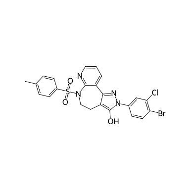 Cc1ccc(S(=O)(=O)N2CCc3c(nn(-c4ccc(Br)c(Cl)c4)c3O)-c3cccnc32)cc1